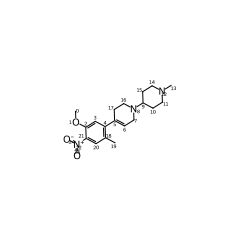 COc1cc(C2=CCN(C3CCN(C)CC3)CC2)c(C)cc1[N+](=O)[O-]